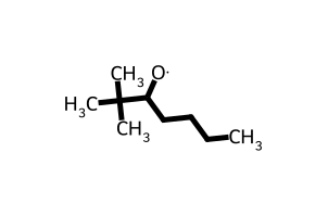 CCCCC([O])C(C)(C)C